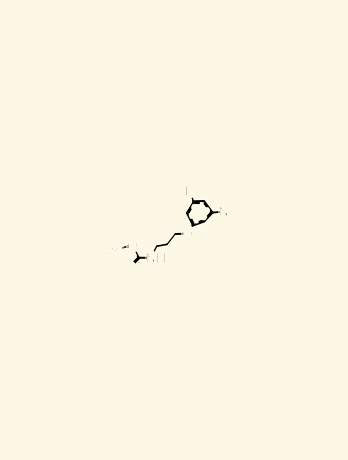 CC(C)(C)OC(=O)NCCCOc1cc(F)cc([N+](=O)[O-])c1